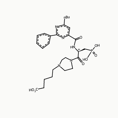 CCCCc1cc(C(=O)N[C@@H](CP(=O)(O)O)C(=O)N2CCN(CCCCC(=O)O)CC2)nc(-c2ccccc2)n1